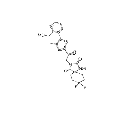 Cc1cc(C(=O)CN2C(=O)NC3(CCC(F)(F)CC3)C2=O)sc1-c1cccnc1CO